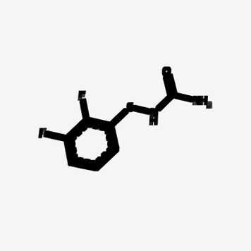 NC(=O)NSc1cccc(F)c1F